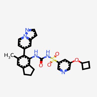 Cc1cc2c(c(NC(=O)NS(=O)(=O)c3cncc(OC4CCC4)c3)c1-c1ccn3nccc3c1)CCC2